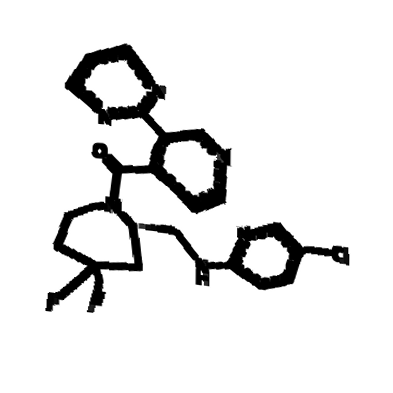 O=C(c1ccncc1-c1ncccn1)N1CCC(F)(F)C[C@H]1CNc1ccc(Cl)cn1